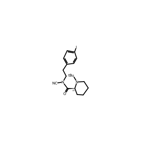 CC(C)(C)N1CCCC[C@H]1C(=O)N(C#N)CCc1ccc(I)cc1